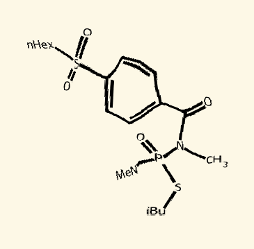 CCCCCCS(=O)(=O)c1ccc(C(=O)N(C)P(=O)(NC)SC(C)CC)cc1